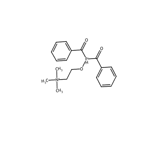 C[N+](C)(C)CCO[PH-](C(=O)c1ccccc1)C(=O)c1ccccc1